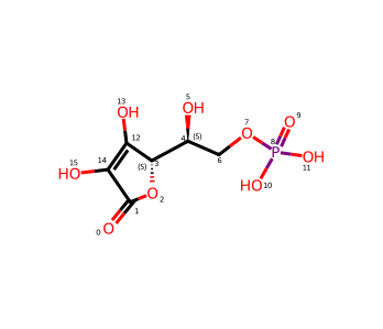 O=C1O[C@@H]([C@@H](O)COP(=O)(O)O)C(O)=C1O